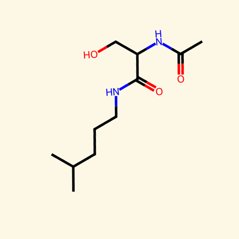 CC(=O)NC(CO)C(=O)NCCCC(C)C